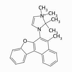 Cc1c(N2C=C[N+](C)(C)C2(C)C)c2oc3ccccc3c2c2ccccc12